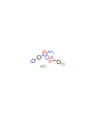 Cl.NC(=O)C1CN(S(=O)(=O)C=Cc2ccc(Cl)cc2)CCN1C(=O)c1ccc(-c2ccncc2)cc1